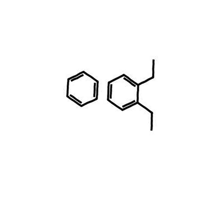 CCc1ccccc1CC.c1ccccc1